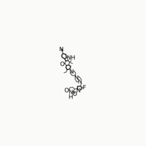 CCc1cc2c(cc1N1CCC(N3CCN(Cc4cc(C5CCC(=O)NC5=O)ncc4F)CC3)CC1)C(C)(C)c1[nH]c3cc(C#N)ccc3c1C2=O